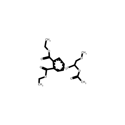 CCOC(=O)c1ccccc1C(=O)OCC.COCC(C)OC(C)=O